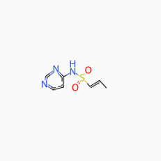 C/C=C/S(=O)(=O)Nc1ccncn1